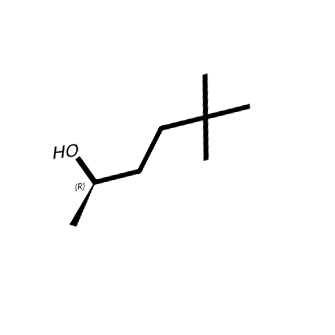 C[C@@H](O)CCC(C)(C)C